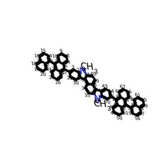 Cn1c2cc(-c3c4ccccc4c(-c4cccc5ccccc45)c4ccccc34)ccc2c2c3ccc4c(c3ccc21)c1ccc(-c2c3ccccc3c(-c3cccc5ccccc35)c3ccccc23)cc1n4C